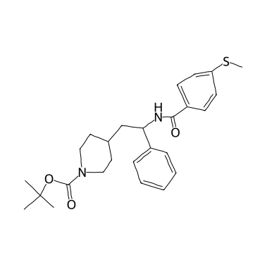 CSc1ccc(C(=O)NC(CC2CCN(C(=O)OC(C)(C)C)CC2)c2ccccc2)cc1